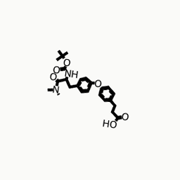 CN(C)C(=O)C(Cc1ccc(Oc2ccc(CCC(=O)O)cc2)cc1)NC(=O)OC(C)(C)C